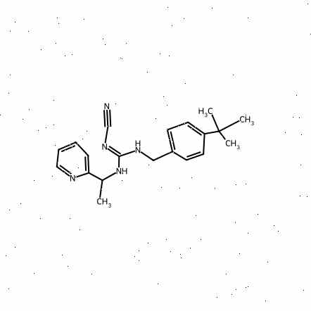 CC(N/C(=N/C#N)NCc1ccc(C(C)(C)C)cc1)c1ccccn1